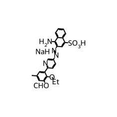 CCOc1c(C=O)cc(C)cc1-c1ccc(/N=N/c2cc(S(=O)(=O)O)c3ccccc3c2N)cn1.[NaH]